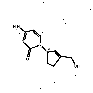 Nc1ccn([C@H]2C=C(CO)CC2)c(=O)n1